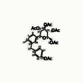 CC(=O)OC[C@H]1O[C@@H](c2ccc(C)c(Cc3ccc(OC(C)=O)cc3)c2)[C@H](OC(C)=O)[C@@H](OC(C)=O)[C@@H]1OC(C)=O